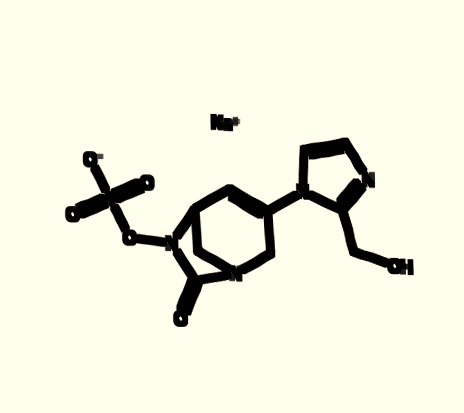 O=C1N2CC(n3ccnc3CO)=CC(C2)N1OS(=O)(=O)[O-].[Na+]